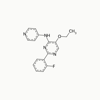 CCOc1cnc(-c2ccccc2F)nc1Nc1ccncc1